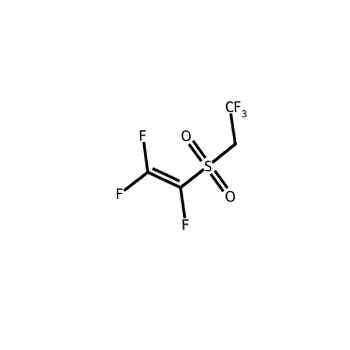 O=S(=O)(CC(F)(F)F)C(F)=C(F)F